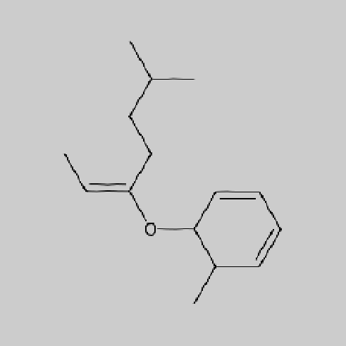 C/C=C(\CCC(C)C)OC1C=CC=CC1C